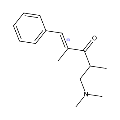 C/C(=C\c1ccccc1)C(=O)C(C)CN(C)C